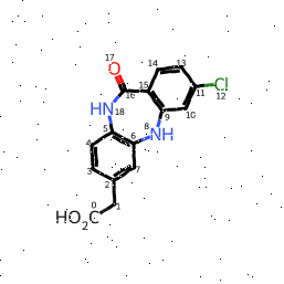 O=C(O)Cc1ccc2c(c1)Nc1cc(Cl)ccc1C(=O)N2